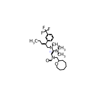 CCC=C(CN(C)/C(=C/N(C=O)CC1CCCCCCO1)N(C)C)c1cccc(C(F)(F)F)c1